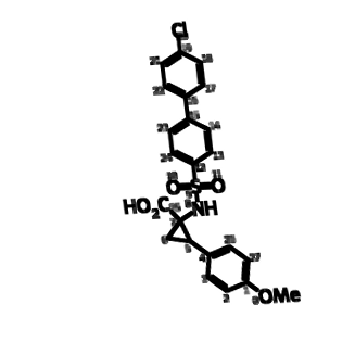 COc1ccc(C2CC2(NS(=O)(=O)c2ccc(-c3ccc(Cl)cc3)cc2)C(=O)O)cc1